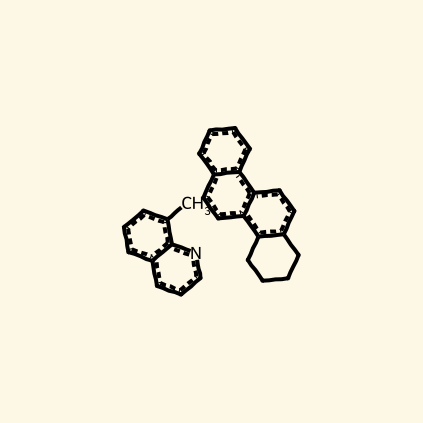 Cc1cccc2cccnc12.c1ccc2c(c1)ccc1c3c(ccc12)CCCC3